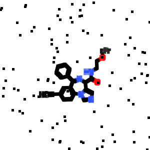 C#Cc1ccc2c(c1)C(c1ccccc1)=NC(C(=O)NCCOCCC)c1cncn1-2